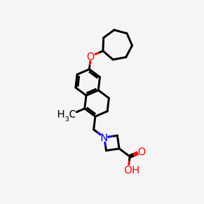 CC1=C(CN2CC(C(=O)O)C2)CCc2cc(OC3CCCCCC3)ccc21